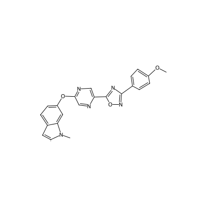 COc1ccc(-c2noc(-c3cnc(Oc4ccc5c[c]n(C)c5c4)cn3)n2)cc1